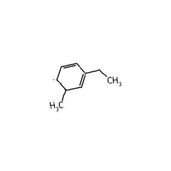 CCC1=CC(C)[CH]C=C1